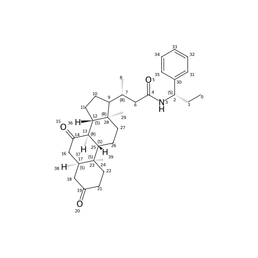 CC[C@H](NC(=O)C[C@@H](C)C1CC[C@H]2[C@@H]3C(=O)C[C@@H]4CC(=O)CC[C@]4(C)[C@H]3CC[C@]12C)c1ccccc1